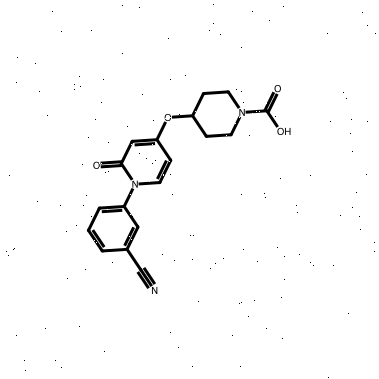 N#Cc1cccc(-n2ccc(OC3CCN(C(=O)O)CC3)cc2=O)c1